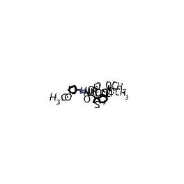 COc1cccc(/C=C/NC(=O)C(c2csc3ccc(Cl)cc23)P(=O)(O)OCOC(=O)OC(C)C)c1